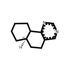 c1ncc2c(n1)C1CCCC[C@@H]1CC2